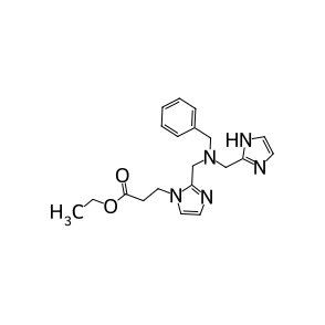 CCOC(=O)CCn1ccnc1CN(Cc1ccccc1)Cc1ncc[nH]1